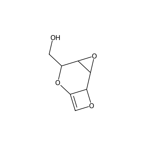 OCC1OC2=COC2C2OC12